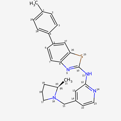 Cc1ccc(-c2ccc3nc(Nc4cc(CN5CCC[C@H]5C)ccn4)sc3c2)cc1